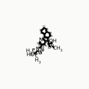 CN1CC(C)(C(O)(c2cncc(-c3noc(C(C)(C)O)n3)c2)c2ccc3ccccc3c2)C1